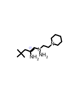 CC(C)(C)C/C(N)=C/N(N)CCN1CCCCC1